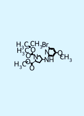 COC(=O)[C@@H]1C[C@H](Nc2cc(OC)cc(Br)n2)CN1C(=O)OC(C)(C)C